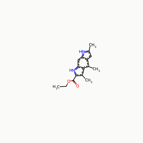 CCOC(=O)c1[nH]c2cc3[nH]c(C)cc3c(C)c2c1C